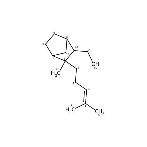 CC(C)=CCCC1(C)C2CCC(C2)C1CO